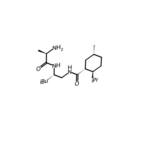 CCC(C)[C@@H](CNC(=O)[C@@H]1C[C@H](C)CC[C@H]1C(C)C)NC(=O)[C@@H](C)N